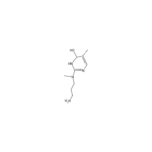 CC1=CN=C(N(C)CCCN)NC1O